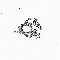 CC[C@H](C)[C@@H]1NC(=O)[C@H](Cc2ccc(O)cc2)NC(=O)[C@@H](N)CSSC[C@@H](C(=O)N2CCC[C@H]2C(=O)N[C@@H](CC(C)C)C(=O)NCC(N)=O)NC(=O)[C@H](CC(N)=O)NC(=O)[C@H](CCC(N)=O)NC1=O.C[C@]12CC[C@H]3[C@@H](CCC4=CC(=O)CC[C@@]43C)[C@@H]1CC[C@@H]2O